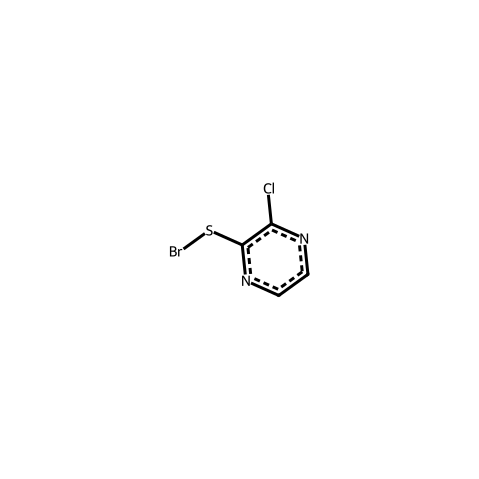 Clc1nccnc1SBr